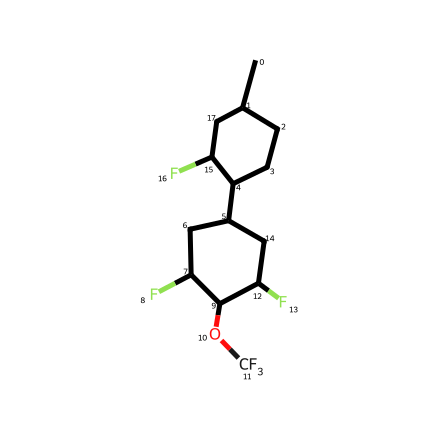 CC1CCC(C2CC(F)C(OC(F)(F)F)C(F)C2)C(F)C1